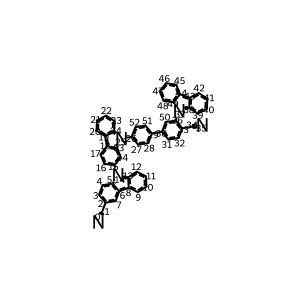 N#Cc1ccc2c(c1)c1ccccc1n2-c1ccc2c3ccccc3n(-c3ccc(-c4ccc(C#N)c(-n5c6ccccc6c6ccccc65)c4)cc3)c2c1